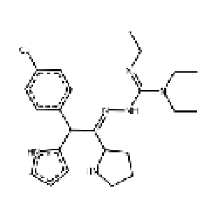 CCN=C(NN=C(C1CCCN1)C(c1ccc(Cl)cc1)c1ccc[nH]1)N(CC)CC